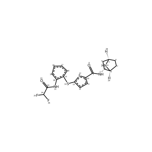 O=C(N[C@@H]1C[C@H]2CC[C@@H]1N2)c1ccc(Sc2ccccc2NC(=O)C(F)F)s1